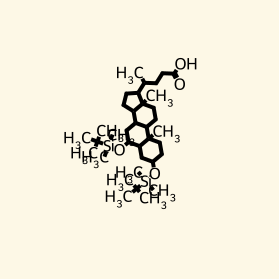 CC(CCC(=O)O)C1CCC2C3CC(O[Si](C)(C)C(C)(C)C)C4CC(O[Si](C)(C)C(C)(C)C)CCC4(C)C3CCC12C